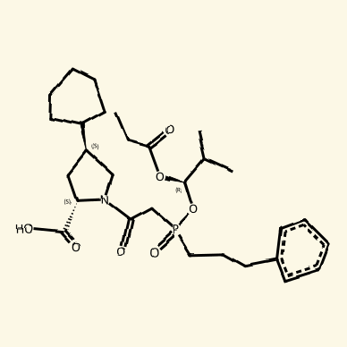 CCC(=O)O[C@H](OP(=O)(CCCc1ccccc1)CC(=O)N1C[C@H](C2CCCCC2)C[C@H]1C(=O)O)C(C)C